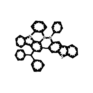 c1ccc(C(c2ccccc2)c2cc3c4c5c2c2ccccc2n5-c2ccccc2B4N(c2ccccc2)c2cc4c(cc2-3)sc2ccccc24)cc1